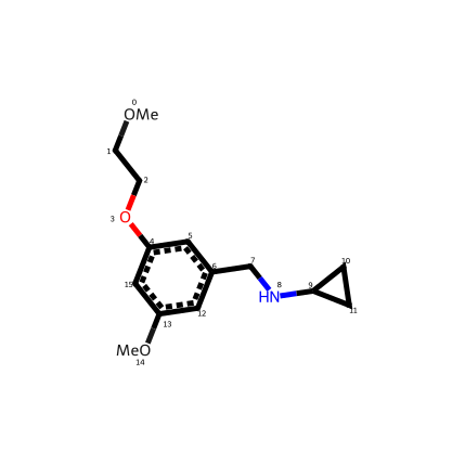 COCCOc1cc(CNC2CC2)cc(OC)c1